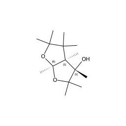 CC1(C)O[C@]2(C)OC(C)(C)[C@@](C)(O)[C@]2(C)C1(C)C